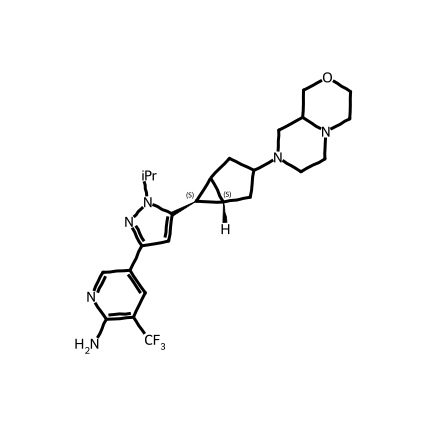 CC(C)n1nc(-c2cnc(N)c(C(F)(F)F)c2)cc1[C@H]1C2CC(N3CCN4CCOCC4C3)C[C@@H]21